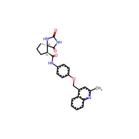 Cc1cc(COc2ccc(NC(=O)[C@H]3CCC[C@@]34NC(=O)NC4=O)cc2)c2ccccc2n1